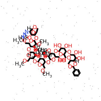 COCC1O[C@@H](O[C@H]2C3CO[C@H](O3)[C@@H](N=[N+]=[N-])C2OC)C(OC)C(OC)[C@@H]1O[C@H]1OC(COC)[C@@H](O[C@@H]2OC(COC)[C@@H](O[C@@H]3OC(CO)[C@@H](O[C@@H]4OC(CO)[C@@H](O[C@H]5OC6COC(c7ccccc7)O[C@H]6C(O)C5O)C(O)C4O)C(OC)[C@@H]3OC)C(OC)[C@@H]2OC)C(OC)C1OC